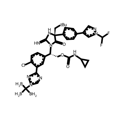 BC(B)(B)n1cnc(-c2cc([C@@H](COC(=O)NC3CC3)N3C(=N)N[C@](CC(C)(C)C)(c4ccc(-c5cnn(C(F)F)c5)cc4)C3=O)ccc2Cl)n1